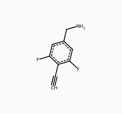 C#Cc1c(F)cc(CN)cc1F